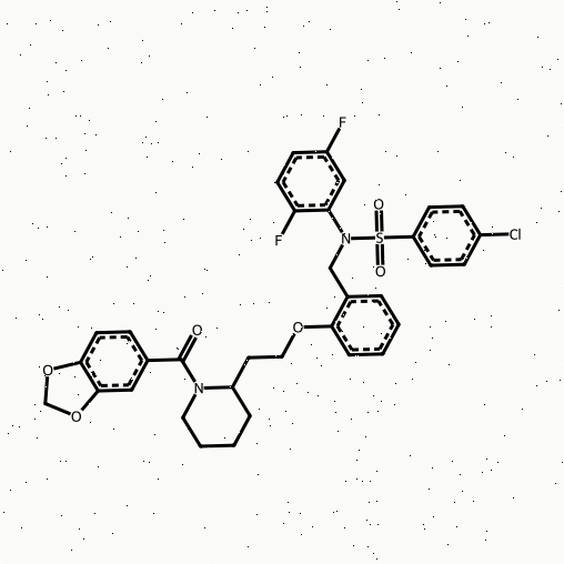 O=C(c1ccc2c(c1)OCO2)N1CCCCC1CCOc1ccccc1CN(c1cc(F)ccc1F)S(=O)(=O)c1ccc(Cl)cc1